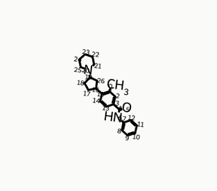 Cc1cc(C(=O)Nc2ccccc2)ccc1C1CCC(N2CCCCC2)C1